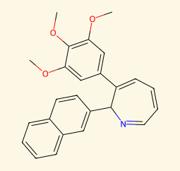 COc1cc(C2=CC=CC=NC2c2ccc3ccccc3c2)cc(OC)c1OC